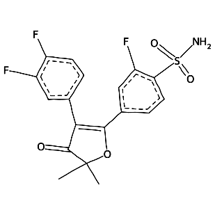 CC1(C)OC(c2ccc(S(N)(=O)=O)c(F)c2)=C(c2ccc(F)c(F)c2)C1=O